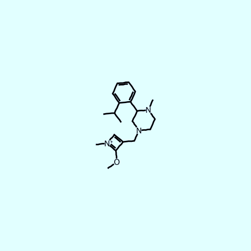 COC1=[N+](C)C=C1CN1CCN(C)C(c2ccccc2C(C)C)C1